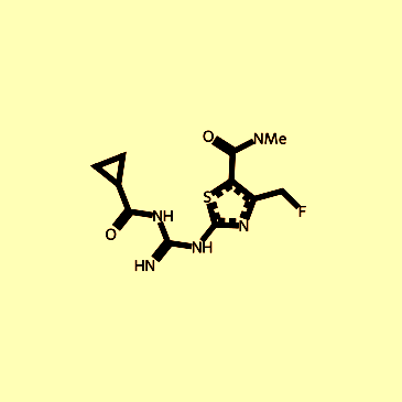 CNC(=O)c1sc(NC(=N)NC(=O)C2CC2)nc1CF